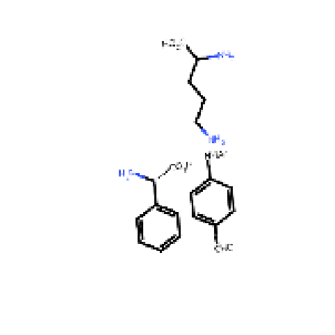 CC(=O)Nc1ccc(C=O)cc1.NCCCC(N)C(=O)O.N[C@H](C(=O)O)c1ccccc1